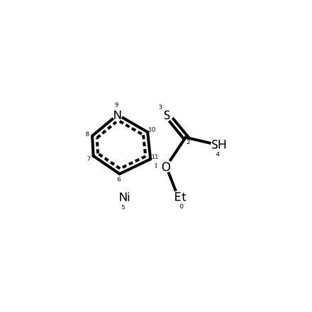 CCOC(=S)S.[Ni].c1ccncc1